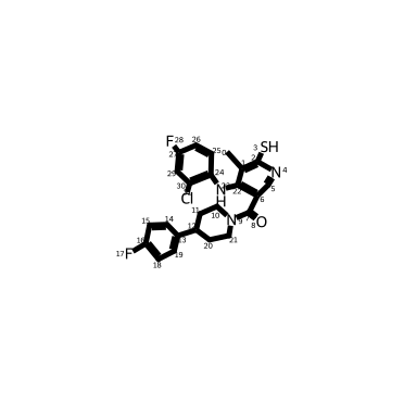 Cc1c(S)ncc(C(=O)N2CCC(c3ccc(F)cc3)CC2)c1Nc1ccc(F)cc1Cl